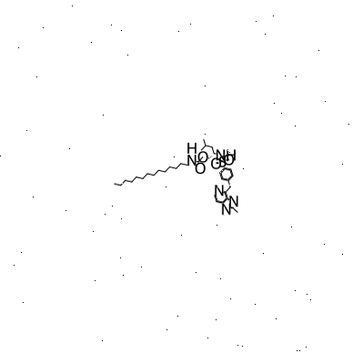 CCCCCCCCCCCCCCNC(=O)OC[C@H](CC(C)C)NS(=O)(=O)c1ccc(Cc2nccc3c2nc(C)n3C)cc1